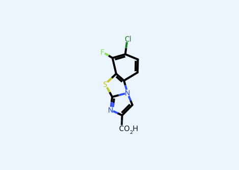 O=C(O)c1cn2c(n1)sc1c(F)c(Cl)ccc12